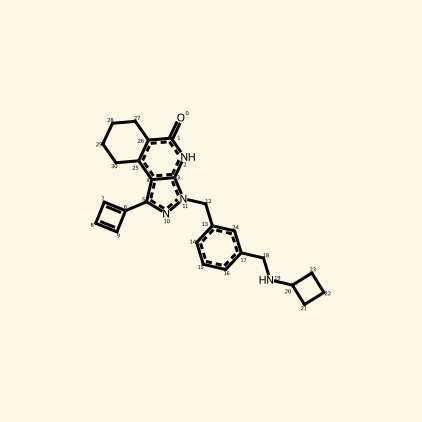 O=c1[nH]c2c(c(C3=CC=C3)nn2Cc2cccc(CNC3CCC3)c2)c2c1CCCC2